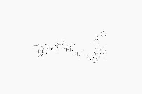 COc1cc(C(=O)NCC(=O)N2CCC(COc3cccc([C@](O)(C(=O)OCC4CCN(Cc5ccccc5)CC4)c4ccccc4)c3)CC2)ccc1CNC[C@H](O)c1ccc(O)c2[nH]c(=O)ccc12